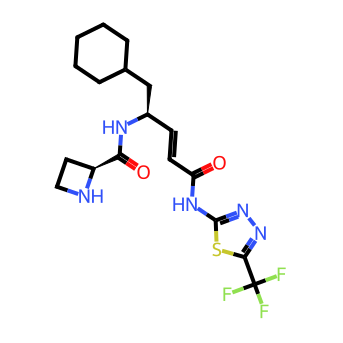 O=C(C=C[C@H](CC1CCCCC1)NC(=O)[C@@H]1CCN1)Nc1nnc(C(F)(F)F)s1